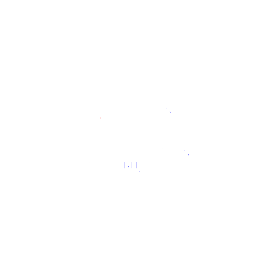 CS(=O)(=O)C(N)c1cccnc1C(N)=O